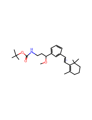 COC(CCNC(=O)OC(C)(C)C)c1cccc(/C=C/C2=C(C)CCCC2(C)C)c1